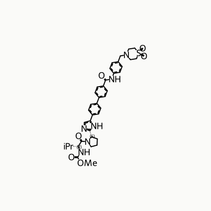 COC(=O)N[C@@H](C(=O)N1CCC[C@H]1c1ncc(-c2ccc(-c3ccc(C(=O)Nc4ccc(CN5CCS(=O)(=O)CC5)cc4)cc3)cc2)[nH]1)C(C)C